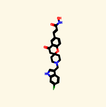 O=C(/C=C/c1ccc2c(c1)C(=O)CC1(CCN(Cc3c[nH]c4cc(F)ccc34)CC1)O2)NO